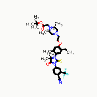 CCc1cc(N2C(=S)N(c3ccc(C#N)c(C(F)(F)F)c3)C(=O)C2(C)C)c(C)cc1OCCN1C[C@@H](C)N(CC(=O)OC(C)(C)C)[C@@H](C)C1